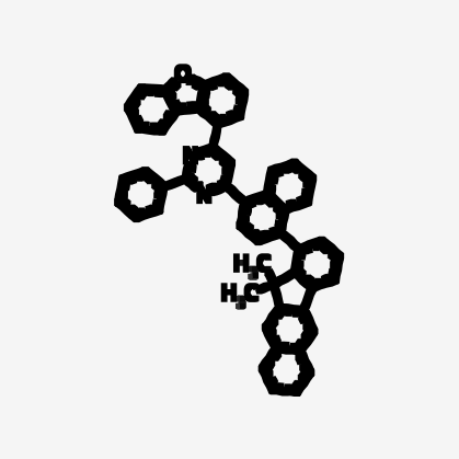 CC1(C)c2cc3ccccc3cc2-c2cccc(-c3ccc(-c4cc(-c5cccc6oc7ccccc7c56)nc(-c5ccccc5)n4)c4ccccc34)c21